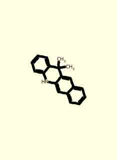 CC1(C)c2ccccc2Nc2cc3ccccc3cc21